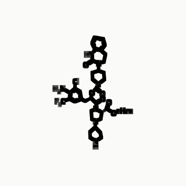 CCCCCCOC(=O)[C@@H]1CN(C2CCNCC2)CCN1C(=O)[C@@H](Cc1cc(Cl)c(N)c(C(F)(F)F)c1)OC(=O)N1CCC(N2CCc3ccccc3NC2=O)CC1